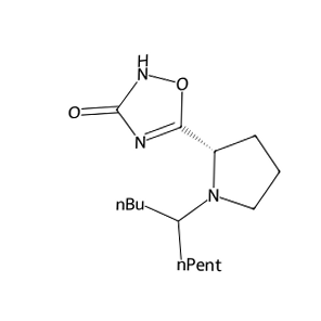 CCCCCC(CCCC)N1CCC[C@H]1c1nc(=O)[nH]o1